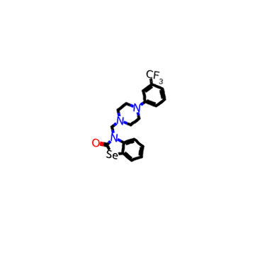 O=c1[se]c2ccccc2n1CN1CCN(c2cccc(C(F)(F)F)c2)CC1